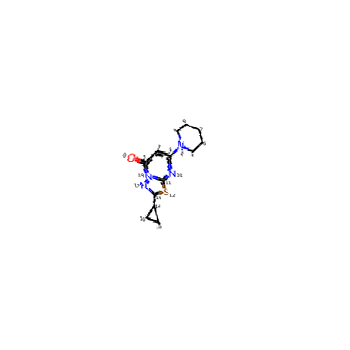 O=c1cc(N2CCCCC2)nc2sc(C3CC3)nn12